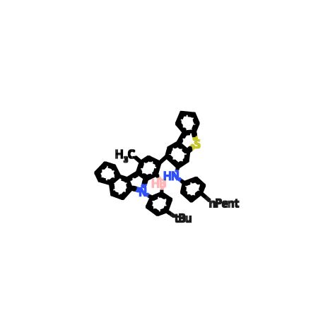 CCCCCc1ccc(Nc2cc3sc4ccccc4c3cc2-c2cc(C)c3c4c5ccccc5ccc4n4c3c2Bc2cc(C(C)(C)C)ccc2-4)cc1